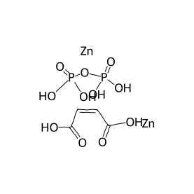 O=C(O)/C=C\C(=O)O.O=P(O)(O)OP(=O)(O)O.[Zn].[Zn]